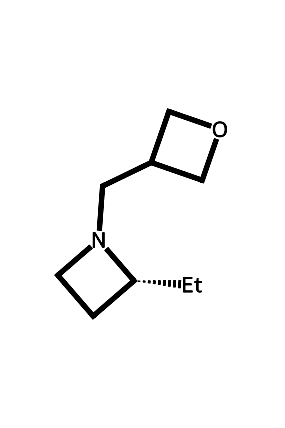 CC[C@@H]1CCN1CC1COC1